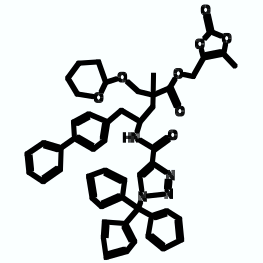 Cc1oc(=O)oc1COC(=O)C(C)(COC1CCCCO1)CC(Cc1ccc(-c2ccccc2)cc1)NC(=O)c1cn(C(c2ccccc2)(c2ccccc2)c2ccccc2)nn1